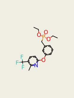 CCOP(=O)(Cc1cccc(Oc2ccc(C(F)(F)F)c(C)n2)c1)OCC